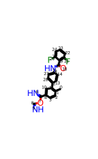 Cc1ccc(C(=N)OC=N)cc1-c1ccc(NC(=O)c2c(F)cccc2F)cc1